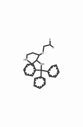 FC(F)COC1CCNCC1NC(c1ccccc1)(c1ccccc1)c1ccccc1